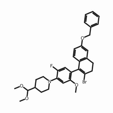 COc1cc(N2CCC(C(OC)OC)CC2)c(F)cc1C1=C(Br)CCc2cc(OCc3ccccc3)ccc21